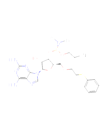 CC(C)N(C(C)C)P(OCCC#N)O[C@H]1[C@@H](O)[C@H](n2cnc3c(N)nc(N)nc32)O[C@@H]1COCCSc1ccccc1